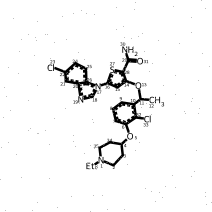 CCN1CCC(Oc2cccc(C(C)Oc3cc(-n4cnc5cc(Cl)ccc54)sc3C(N)=O)c2Cl)CC1